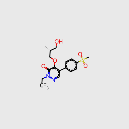 C[C@H](CO)COc1c(-c2ccc(S(C)(=O)=O)cc2)cnn(CC(F)(F)F)c1=O